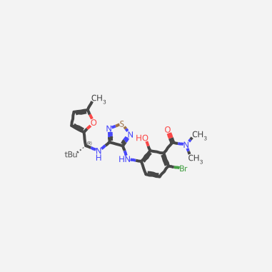 Cc1ccc([C@H](Nc2nsnc2Nc2ccc(Br)c(C(=O)N(C)C)c2O)C(C)(C)C)o1